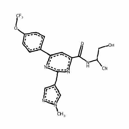 Cn1cc(-c2nc(C(=O)NC(C#N)CO)cc(-c3ccc(OC(F)(F)F)cc3)n2)cn1